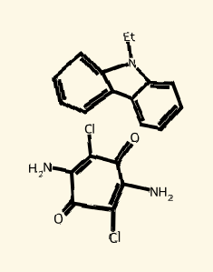 CCn1c2ccccc2c2ccccc21.NC1=C(Cl)C(=O)C(N)=C(Cl)C1=O